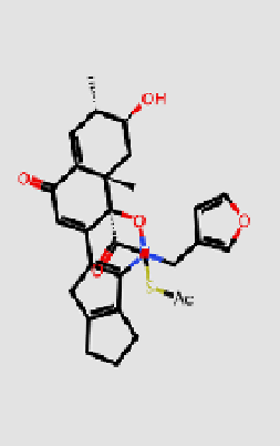 CC(=O)SCC(=O)[C@]12ON(Cc3ccoc3)C3=C(CC4=C3CCC4)C1=CC(=O)C1=C[C@H](C)[C@@H](O)C[C@@]12C